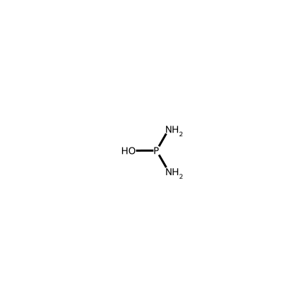 NP(N)O